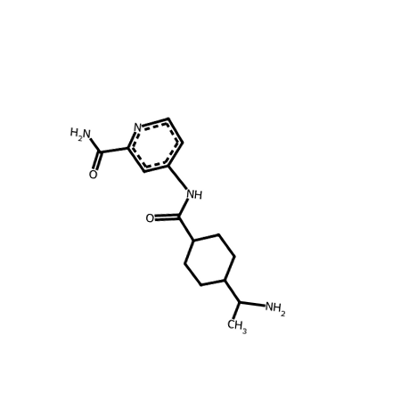 CC(N)C1CCC(C(=O)Nc2ccnc(C(N)=O)c2)CC1